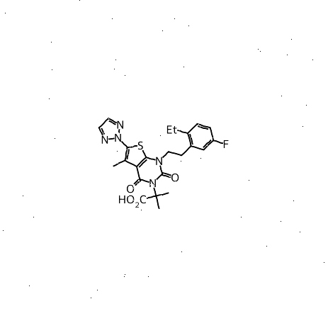 CCc1ccc(F)cc1CCn1c(=O)n(C(C)(C)C(=O)O)c(=O)c2c(C)c(-n3nccn3)sc21